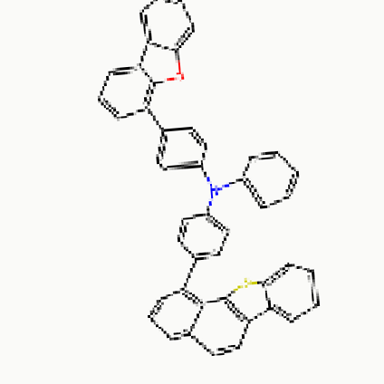 c1ccc(N(c2ccc(-c3cccc4c3oc3ccccc34)cc2)c2ccc(-c3cccc4ccc5c6ccccc6sc5c34)cc2)cc1